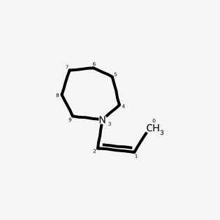 C/C=C\N1CCCCCC1